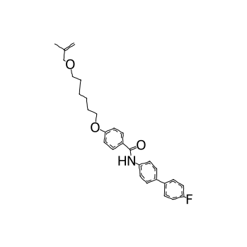 C=C(C)COCCCCCCOc1ccc(C(=O)Nc2ccc(-c3ccc(F)cc3)cc2)cc1